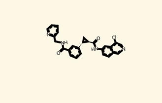 O=C(NCc1ccccn1)c1cccc([C@@H]2C[C@H]2C(=O)Nc2ccc3cncc(Cl)c3c2)c1